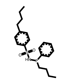 CCCCc1ccc(S(=O)(=O)NP(CCCC)c2ccccc2)cc1